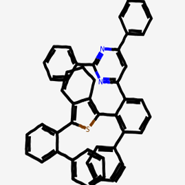 c1cccc(-c2cccc(-c3cc(-c4ccccc4)nc(-c4ccccc4)n3)c2-c2sc(-c3ccccc3-c3ccccc3)c3c2CCC=C3)c#1